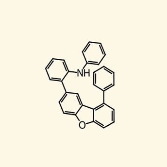 c1ccc(Nc2ccccc2-c2ccc3oc4cccc(-c5ccccc5)c4c3c2)cc1